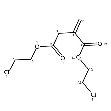 C=C(CC(=O)OCCCl)C(=O)OCCCl